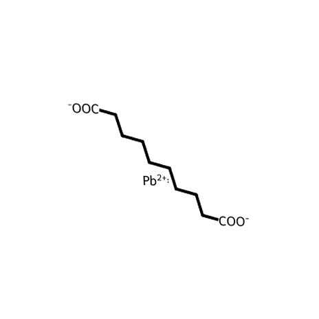 O=C([O-])CCCCCCCCC(=O)[O-].[Pb+2]